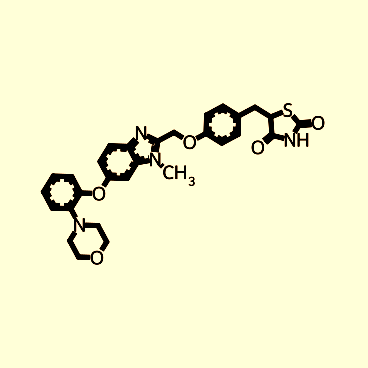 Cn1c(COc2ccc(CC3SC(=O)NC3=O)cc2)nc2ccc(Oc3ccccc3N3CCOCC3)cc21